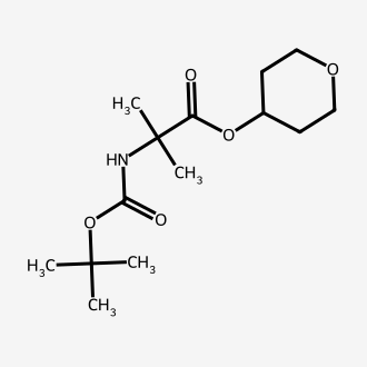 CC(C)(C)OC(=O)NC(C)(C)C(=O)OC1CCOCC1